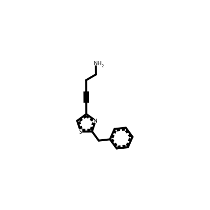 NCCC#Cc1csc(Cc2ccccc2)n1